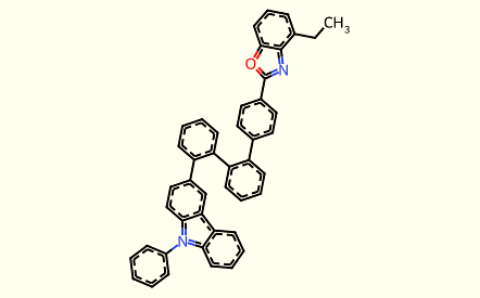 CCc1cccc2oc(-c3ccc(-c4ccccc4-c4ccccc4-c4ccc5c(c4)c4ccccc4n5-c4ccccc4)cc3)nc12